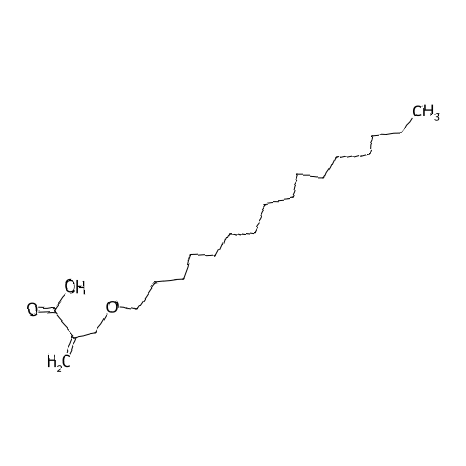 C=C(COCCCCCCCCCCCCCCCC)C(=O)O